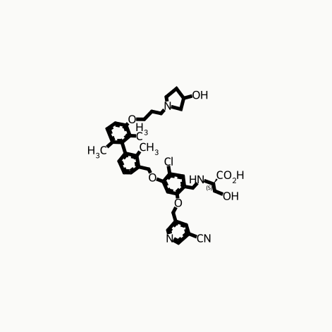 Cc1ccc(OCCCN2CCC(O)C2)c(C)c1-c1cccc(COc2cc(OCc3cncc(C#N)c3)c(CN[C@@H](CO)C(=O)O)cc2Cl)c1C